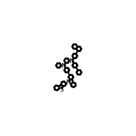 c1ccc(-c2ccc(N(c3ccc(-c4cccc5ccccc45)cc3)c3cccc(N(c4ccccc4)c4ccc(-c5ccc6c7ccccc7n(-c7ccc8c(c7)sc7ccccc78)c6c5)cc4)c3)cc2)cc1